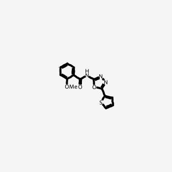 COc1c[c]ccc1C(=O)Nc1nnc(-c2cccs2)o1